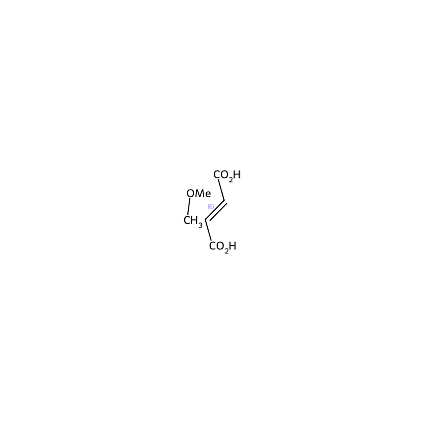 COC.O=C(O)/C=C/C(=O)O